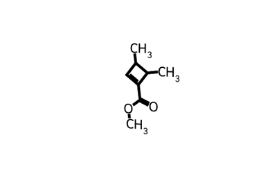 COC(=O)C1=CC(C)C1C